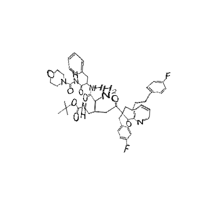 CC(C)(C)OC(=O)NCC(CC(=O)C(CCCCc1ccc(F)cc1)(Cc1ccc(F)cc1)C(=O)c1ccccn1)C(N)C(=O)NC(Cc1ccccc1)C(=O)NC(=O)N1CCOCC1